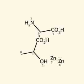 CC(O)C(=O)O.NCC(=O)O.[Zn].[Zn]